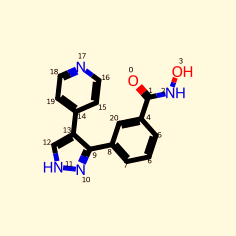 O=C(NO)c1cccc(-c2n[nH]cc2-c2ccncc2)c1